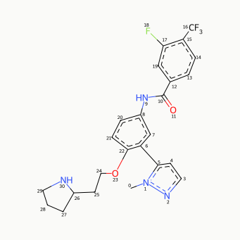 Cn1nccc1-c1cc(NC(=O)c2ccc(C(F)(F)F)c(F)c2)ccc1OCCC1CCCN1